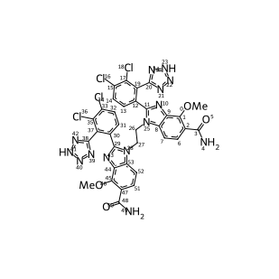 COc1c(C(N)=O)ccc2c1nc(-c1ccc(Cl)c(Cl)c1-c1nn[nH]n1)n2CCn1c(-c2ccc(Cl)c(Cl)c2-c2nn[nH]n2)nc2c(OC)c(C(N)=O)ccc21